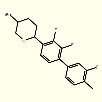 CCCCC1CCC(c2ccc(-c3ccc(C)c(F)c3)c(F)c2F)OC1